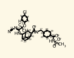 CC(C)(Oc1ccc(Cl)cc1)/C(=N/C#N)NC1C2CC3CC1CC(C(=O)NCc1ccc(C(=O)NS(C)(=O)=O)cc1)(C3)C2